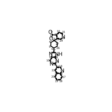 O=C1OC2(CCC(c3nc4cnc(-c5cnc6ccccc6c5)nc4[nH]3)CC2)c2cnccc21